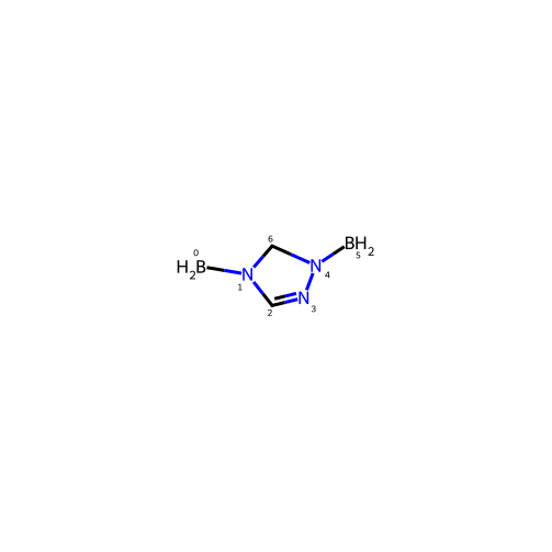 BN1C=NN(B)C1